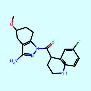 COC1CCc2c(c(N)nn2C(=O)C2CCNc3ccc(F)cc32)C1